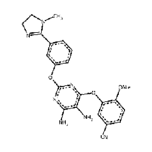 COc1ccc(C#N)cc1Oc1nc(Oc2cccc(C3=NCCN3C)c2)nc(N)c1N